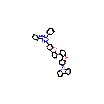 c1ccc(C2=NC(c3ccc4c(c3)oc3c(-c5cccc6oc7cc(-n8c9ccccc9c9ccccc98)ccc7c56)cccc34)=NC(c3ccccc3)N2)cc1